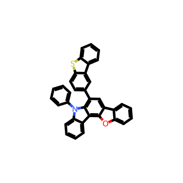 c1ccc(-n2c3ccccc3c3c4oc5ccccc5c4cc(-c4ccc5sc6ccccc6c5c4)c32)cc1